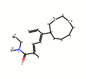 C=C/C(=C\C=C(/C)C(=O)N(CC)CC(C)CC)C1CCCCCCCC1